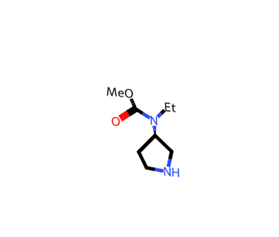 CCN(C(=O)OC)[C@@H]1CCNC1